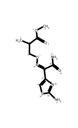 COC(=O)C(C)CON=C(C(N)=O)c1csc(N)n1